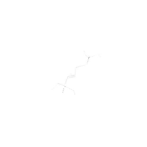 CC[N+](O)(/C=C/COC(C)=O)CC